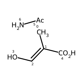 CC(=CO)C(=O)O.CC(N)=O